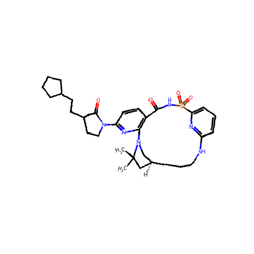 CC1(C)C[C@@H]2CCCNc3cccc(n3)S(=O)(=O)NC(=O)c3ccc(N4CCC(CCC5CCCC5)C4=O)nc3N1C2